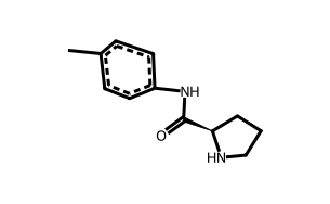 Cc1ccc(NC(=O)[C@H]2CCCN2)cc1